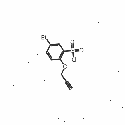 C#CCOc1ccc(CC)cc1S(=O)(=O)Cl